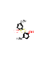 CCCCC1=CC2(Sc3cc(CCCC)ccc3O)SC2(O)C=C1